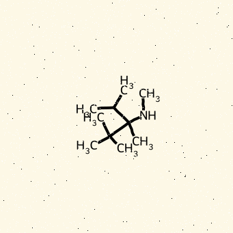 CNC(C)(C(C)C)C(C)(C)C